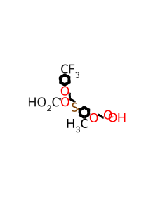 Cc1cc(SCC(COc2ccc(C(F)(F)F)cc2)OCC(=O)O)ccc1OCCOO